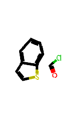 O=CCl.c1ccc2sccc2c1